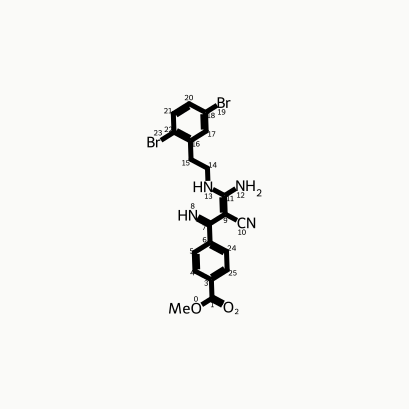 COC(=O)c1ccc(C(=N)/C(C#N)=C(/N)NCCc2cc(Br)ccc2Br)cc1